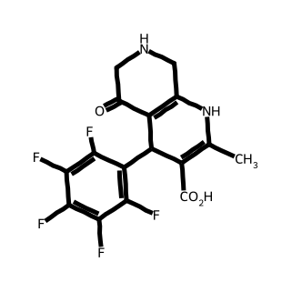 CC1=C(C(=O)O)C(c2c(F)c(F)c(F)c(F)c2F)C2=C(CNCC2=O)N1